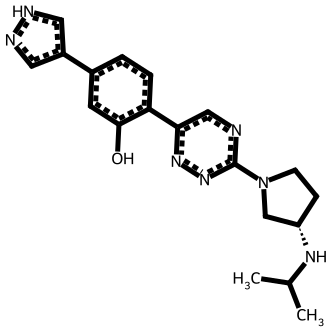 CC(C)N[C@H]1CCN(c2ncc(-c3ccc(-c4cn[nH]c4)cc3O)nn2)C1